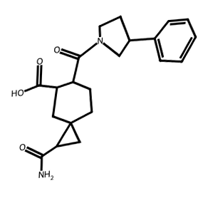 NC(=O)C1CC12CCC(C(=O)N1CCC(c3ccccc3)C1)C(C(=O)O)C2